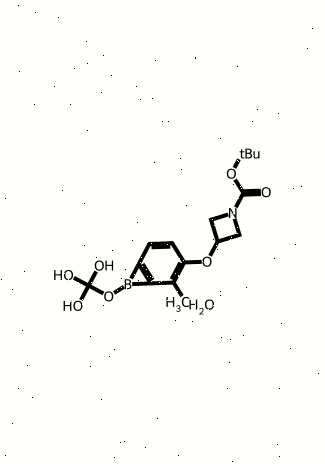 Cc1c(OC2CN(C(=O)OC(C)(C)C)C2)ccc2c1B2OC(O)(O)O.O